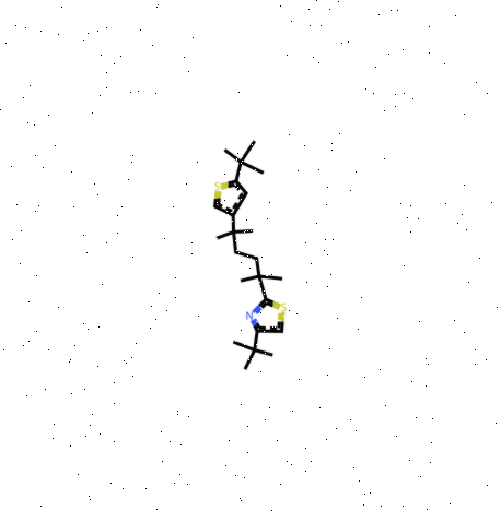 CC(C)(C)c1csc(C(C)(C)CCC(C)(C)c2csc(C(C)(C)C)c2)n1